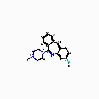 CN1CCN(C2=NC3=CC(F)=CCC3=Cc3ccccc32)CC1